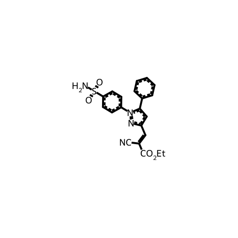 CCOC(=O)C(C#N)=Cc1cc(-c2ccccc2)n(-c2ccc(S(N)(=O)=O)cc2)n1